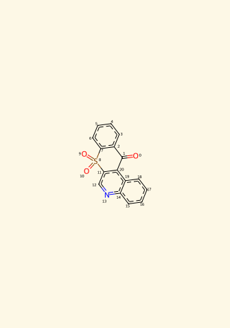 O=C1c2ccccc2S(=O)(=O)c2cnc3ccccc3c21